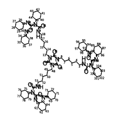 O=C(NCCCCCCn1c(=O)n(CCCCCCNC(=O)N(/C(=N/C2CCCCC2)ON=C2CCCCC2)C2CCCCC2)c(=O)n(CCCCCCNC(=O)N(/C(=N/C2CCCCC2)ON=C2CCCCC2)C2CCCCC2)c1=O)N(/C(=N/C1CCCCC1)ON=C1CCCCC1)C1CCCCC1